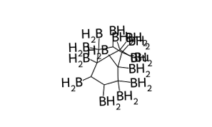 BC1C(B)C2(B)C(B)(B)C(B)C(B)(B)C(B)(C1(B)B)C2(B)C(B)(B)C(C)(C)C